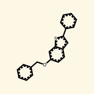 c1ccc(COc2ccc3cc(-c4ccccc4)sc3c2)cc1